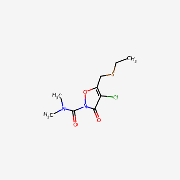 CCSCc1on(C(=O)N(C)C)c(=O)c1Cl